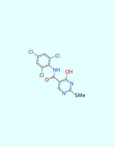 CSc1ncc(C(=O)Nc2c(Cl)cc(Cl)cc2Cl)c(O)n1